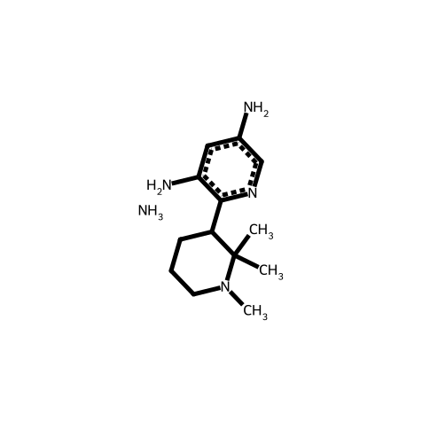 CN1CCCC(c2ncc(N)cc2N)C1(C)C.N